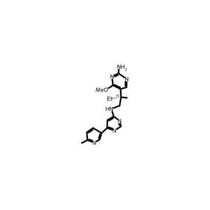 CC[C@](C)(CNc1cc(-c2ccc(C)nc2)ncn1)c1cnc(N)nc1OC